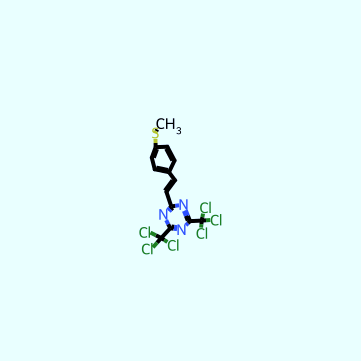 CSc1ccc(/C=C/c2nc(C(Cl)(Cl)Cl)nc(C(Cl)(Cl)Cl)n2)cc1